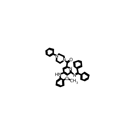 COc1ccccc1Nc1cc(N=C(c2ccccc2)c2ccccc2)nc(C(=O)N2CCN(c3ccccc3)CC2)c1